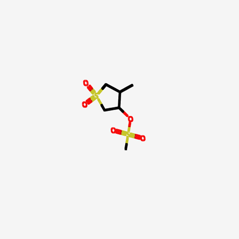 CC1CS(=O)(=O)CC1OS(C)(=O)=O